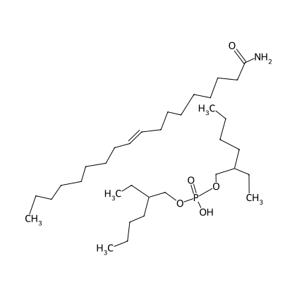 CCCCC(CC)COP(=O)(O)OCC(CC)CCCC.CCCCCCCCC=CCCCCCCCC(N)=O